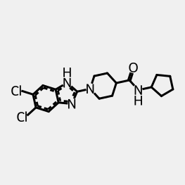 O=C(NC1CCCC1)C1CCN(c2nc3cc(Cl)c(Cl)cc3[nH]2)CC1